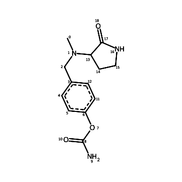 CN(Cc1ccc(OC(N)=O)cc1)C1CCNC1=O